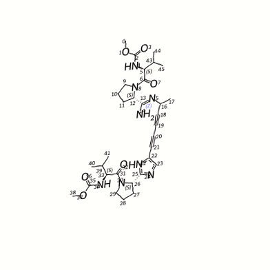 COC(=O)N[C@H](C(=O)N1CCC[C@H]1/C(N)=N/C(C)C#CC#Cc1cnc([C@@H]2CCCN2C(=O)[C@@H](NC(=O)OC)C(C)C)[nH]1)C(C)C